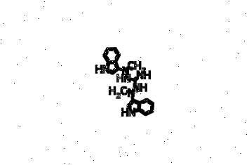 C=[N+](NC(=N)N[N+](=C)c1c[nH]c2ccccc12)c1c[nH]c2ccccc12